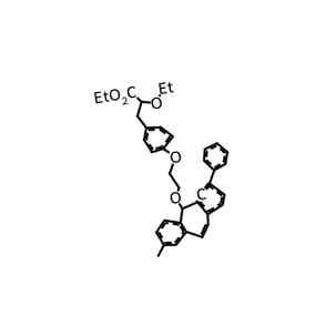 CCOC(=O)C(Cc1ccc(OCCOC2c3ccc(C)cc3C=Cc3ccc(-c4ccccc4)cc32)cc1)OCC